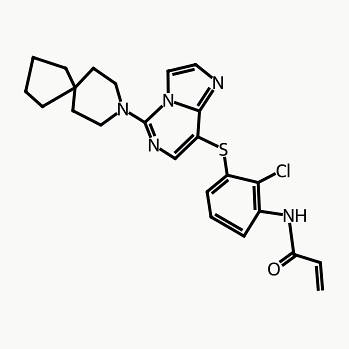 C=CC(=O)Nc1cccc(Sc2cnc(N3CCC4(CCCC4)CC3)n3ccnc23)c1Cl